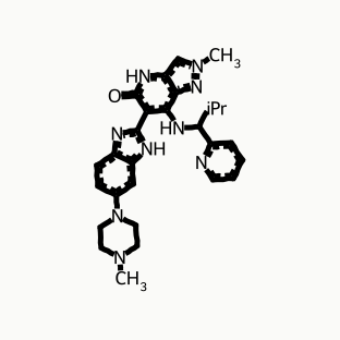 CC(C)C(Nc1c(-c2nc3ccc(N4CCN(C)CC4)cc3[nH]2)c(=O)[nH]c2cn(C)nc12)c1ccccn1